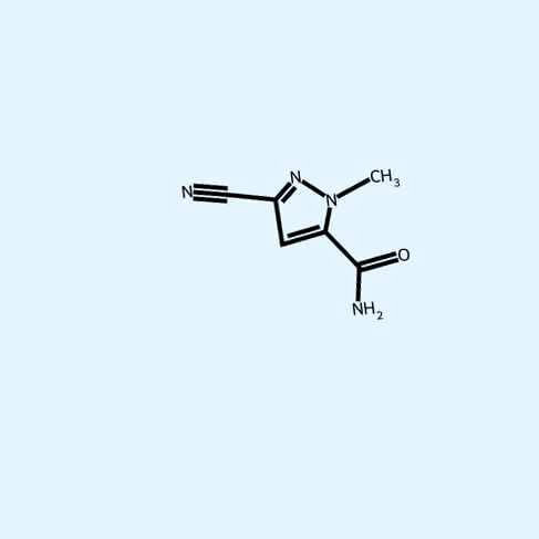 Cn1nc(C#N)cc1C(N)=O